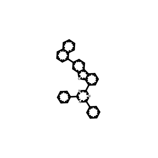 c1ccc(-c2nc(-c3ccccc3)nc(-c3cccc4c3oc3cc(-c5cccc6ccccc56)ccc34)n2)cc1